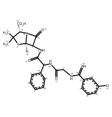 CC1(C)S[C@@H]2C(NC(=O)C(NC(=O)CNC(=N)c3cccc(Cl)c3)c3ccccc3)C(=O)N2[C@H]1C(=O)O